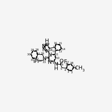 Cc1ccc(CC(=O)Nc2cc(-c3ccccc3-c3nnn[nH]3)nc(N(Cc3ccccc3)CC(C)C)n2)c(F)c1